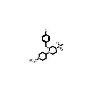 CS(=O)(=O)N1CCN(C2CCN(C(=O)O)CC2)[C@@H](Cc2ccc(Cl)cc2)C1